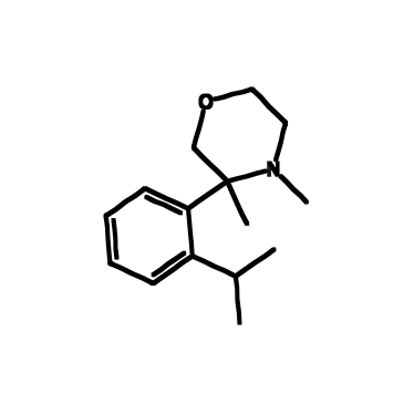 CC(C)c1ccccc1C1(C)COCCN1C